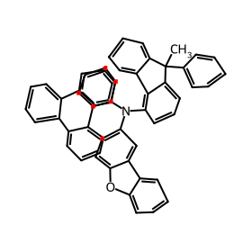 CC1(c2ccccc2)c2ccccc2-c2c(N(c3ccc4oc5ccccc5c4c3)c3ccccc3-c3ccccc3-c3ccccc3-c3ccccc3)cccc21